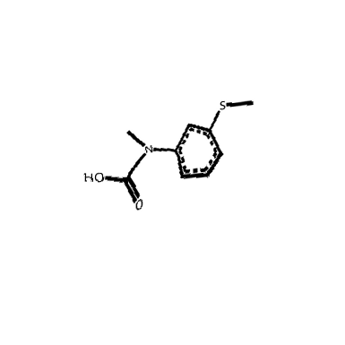 CSc1cccc(N(C)C(=O)O)c1